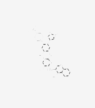 COc1cc(N2CCC(N(C)C)CC2)c(-c2cnn(C)c2)cc1Nc1ncc(Br)c(Nc2cnc3ccccc3c2P(C)C)n1